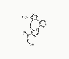 Cc1nnn2c1CC1C3N(C=NC13C(N)=C=CO)c1ccccc1-2